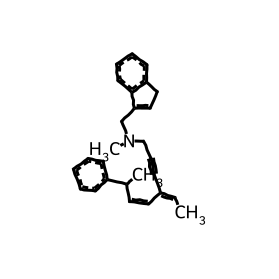 C/C=C(C#CCN(C)CC1=CCc2ccccc21)\C=C/C(C)c1ccccc1